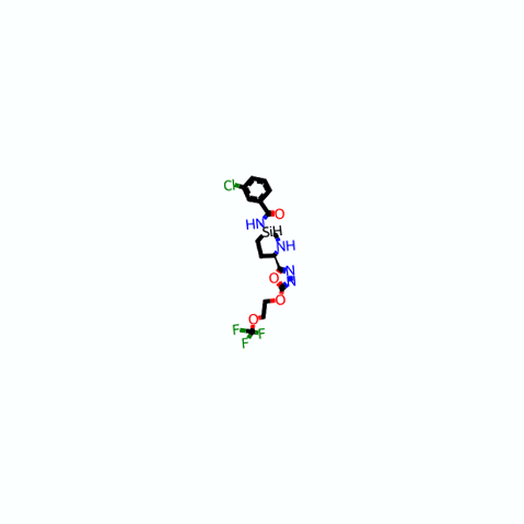 O=C(N[Si@H]1CC[C@H](c2nnc(OCCOC(F)(F)F)o2)NC1)c1cccc(Cl)c1